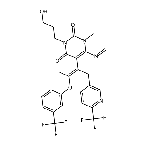 C=Nc1c(/C(Cc2ccc(C(F)(F)F)nc2)=C(\C)Oc2cccc(C(F)(F)F)c2)c(=O)n(CCCO)c(=O)n1C